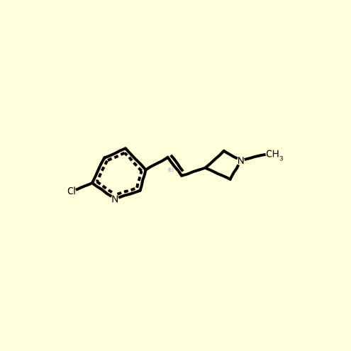 CN1CC(/C=C/c2ccc(Cl)nc2)C1